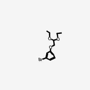 CCOC(COc1cccc(Br)c1)OCC